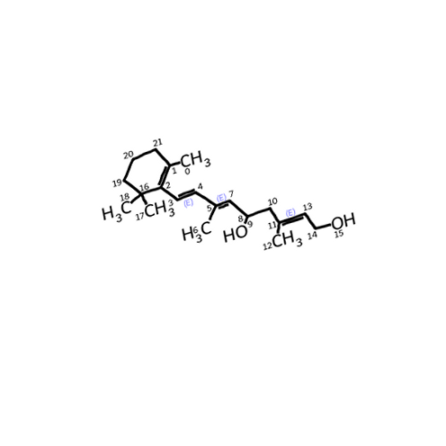 CC1=C(/C=C/C(C)=C/C(O)C/C(C)=C/CO)C(C)(C)CCC1